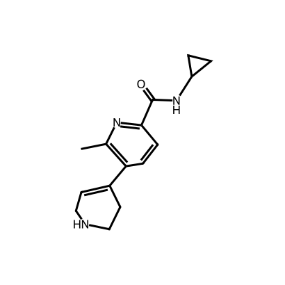 Cc1nc(C(=O)NC2CC2)ccc1C1=CCNCC1